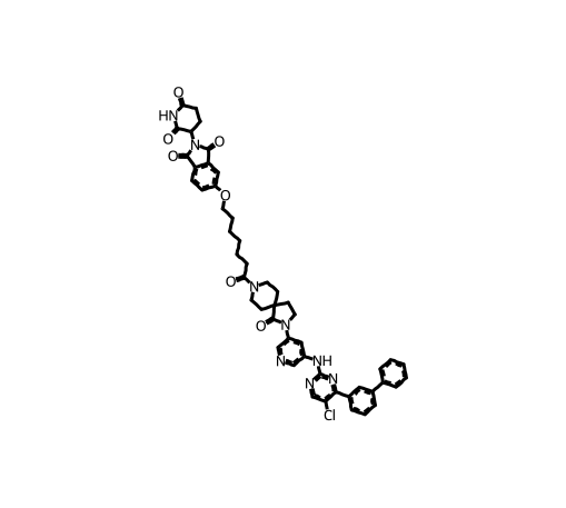 O=C1CCC(N2C(=O)c3ccc(OCCCCCCC(=O)N4CCC5(CC4)CCN(c4cncc(Nc6ncc(Cl)c(-c7cccc(-c8ccccc8)c7)n6)c4)C5=O)cc3C2=O)C(=O)N1